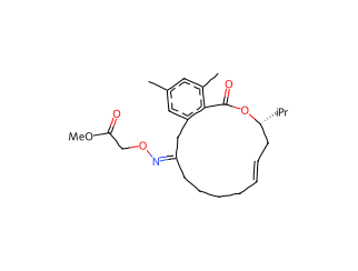 COC(=O)CON=C1CCCC/C=C/C[C@@H](C(C)C)OC(=O)c2c(C)cc(C)cc2C1